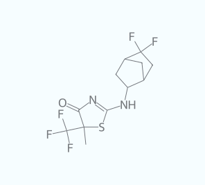 CC1(C(F)(F)F)SC(NC2CC3CC2CC3(F)F)=NC1=O